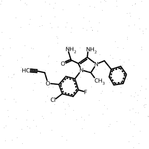 C#CCOc1cc(N2C(C(N)=O)=C(N)N(Cc3ccccc3)C2C)c(F)cc1Cl